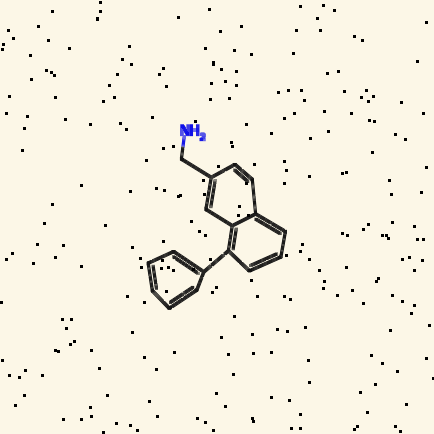 NCc1ccc2cccc(-c3ccccc3)c2c1